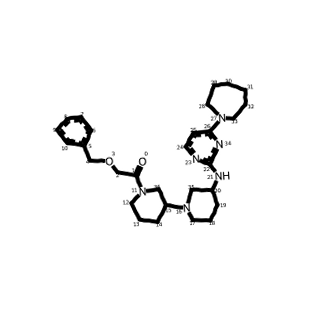 O=C(COCc1ccccc1)N1CCCC(N2CCCC(Nc3nccc(N4CCCCCC4)n3)C2)C1